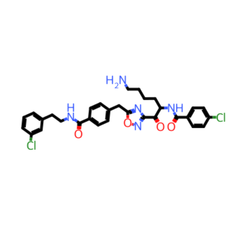 NCCCCC(NC(=O)c1ccc(Cl)cc1)C(=O)c1noc(Cc2ccc(C(=O)NCCc3cccc(Cl)c3)cc2)n1